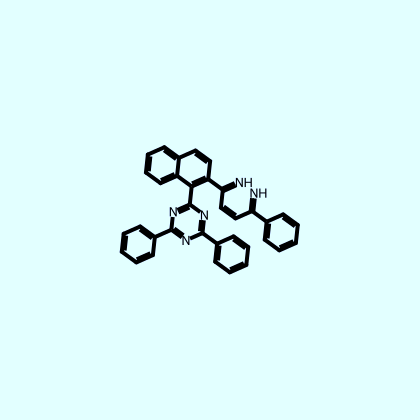 N=C(/C=C\C(=N)c1ccc2ccccc2c1-c1nc(-c2ccccc2)nc(-c2ccccc2)n1)c1ccccc1